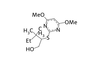 CCC(C)(C)C(CO)Sc1nc(OC)cc(OC)n1